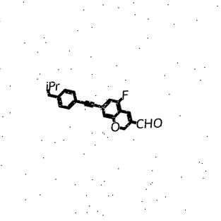 CC(C)Cc1ccc(C#Cc2cc(F)c3c(c2)OCC(C=O)=C3)cc1